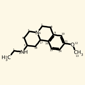 CCNC1CCN2CCc3cc(OC)ccc3C2C1